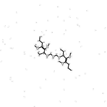 CCCC(OC)=C(OC)C(CC)OCOCOC(CC)C(OC)=C(CCC)OC